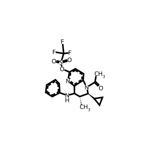 CC(=O)N1c2ccc(OS(=O)(=O)C(F)(F)F)nc2C(Nc2ccccc2)[C@@H](C)[C@@H]1C1CC1